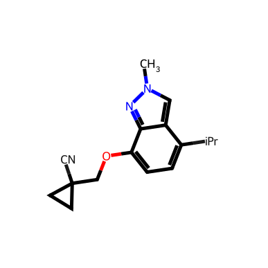 CC(C)c1ccc(OCC2(C#N)CC2)c2nn(C)cc12